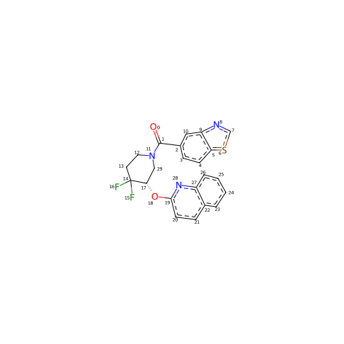 O=C(c1ccc2scnc2c1)N1CCC(F)(F)[C@@H](Oc2ccc3ccccc3n2)C1